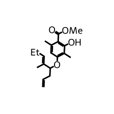 C=CCC(Oc1cc(C)c(C(=O)OC)c(O)c1C)C(C)=CCC